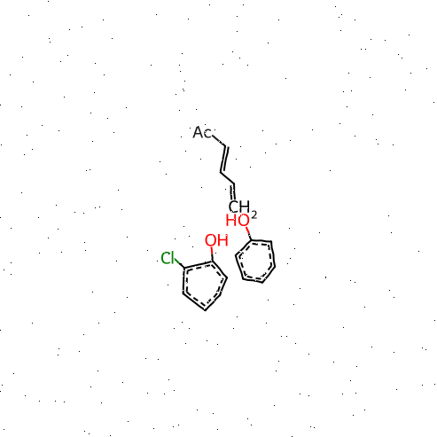 C=C/C=C/C(C)=O.Oc1ccccc1.Oc1ccccc1Cl